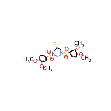 COc1ccc(S(=O)(=O)N2CCN(S(=O)(=O)c3ccc(OC)c(OC)c3)CC(F)(F)C2)cc1OC